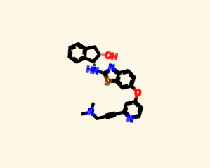 CN(C)CC#Cc1cc(Oc2ccc3nc(N[C@@H]4c5ccccc5C[C@@H]4O)sc3c2)ccn1